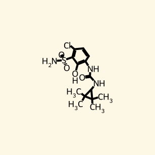 CC1(C)C(NC(=O)Nc2ccc(Cl)c(S(N)(=O)=O)c2O)C1(C)C